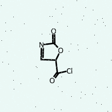 O=C1N=CC(C(=O)Cl)O1